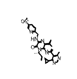 C=C(/N=C1\C(=C(C)C)N=C(NCc2ccc([S+](C)[O-])cn2)C(=O)N1[C@@H](C)CC)c1c(C)ncnc1C1CC1